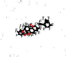 O=C(O)[C@]1(C(F)(F)F)C(F)(c2c(F)c(F)c(F)c(F)c2F)C(F)(F)C(F)(F)[C@]2(C(F)(F)F)c3c(F)c(OC(F)(F)c4c(F)c(F)c(F)c(F)c4F)c(F)c(F)c3C(F)(F)C(F)(F)[C@@]12F